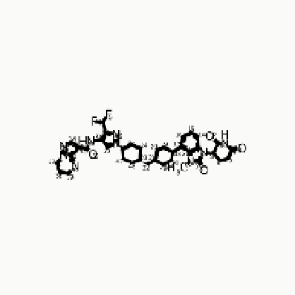 Cn1c(=O)n(C2CCC(=O)NC2=O)c2cccc(C3CCC(C[C@H]4CC[C@H](n5cc(NC(=O)c6cnn7cccnc67)c(C(F)F)n5)CC4)CC3)c21